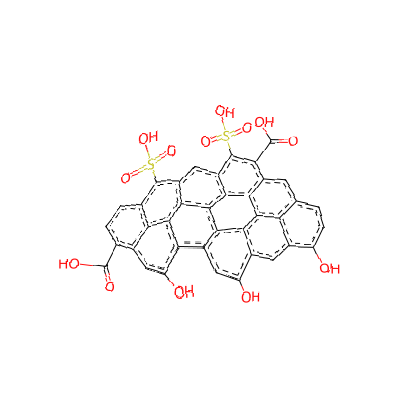 O=C(O)c1ccc2c(S(=O)(=O)O)c3cc4c(S(=O)(=O)O)c(C(=O)O)c5cc6ccc(O)c7cc8c(O)cc9c%10c(O)cc1c2c%10c3c1c4c5c(c67)c8c91